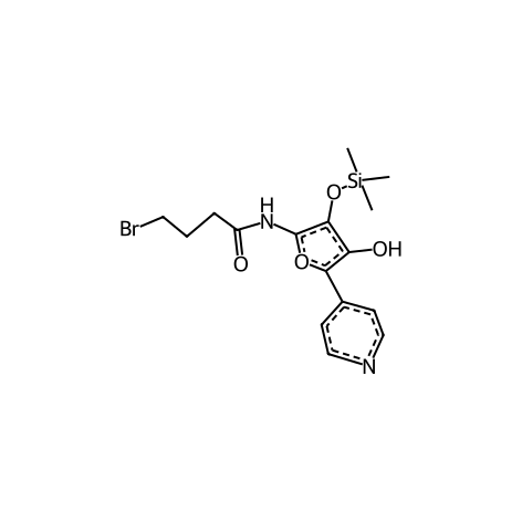 C[Si](C)(C)Oc1c(NC(=O)CCCBr)oc(-c2ccncc2)c1O